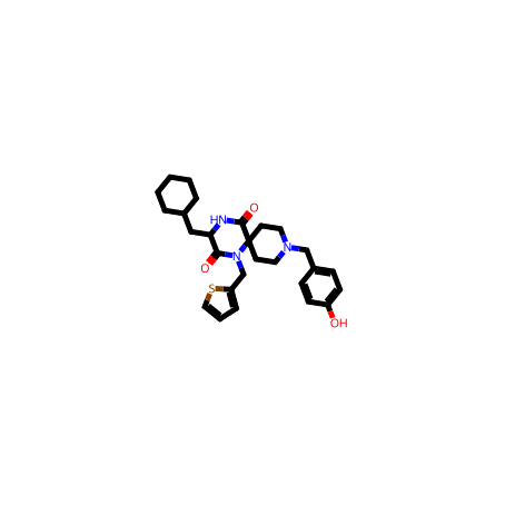 O=C1C(CC2CCCCC2)NC(=O)C2(CCN(Cc3ccc(O)cc3)CC2)N1Cc1cccs1